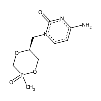 CP1(=O)CO[C@@H](Cn2ccc(N)nc2=O)CO1